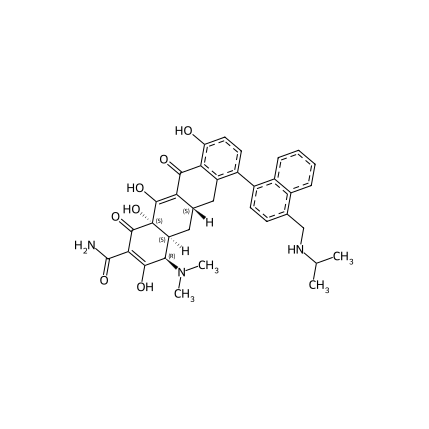 CC(C)NCc1ccc(-c2ccc(O)c3c2C[C@@H]2C[C@H]4[C@@H](N(C)C)C(O)=C(C(N)=O)C(=O)[C@@]4(O)C(O)=C2C3=O)c2ccccc12